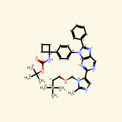 Cc1ncc(-c2ncc3nc(-c4ccccc4)n(-c4ccc(C5(NC(=O)OC(C)(C)C)CCC5)cc4)c3n2)n1COCC[Si](C)(C)C